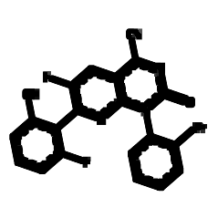 CC(C)c1ccccc1-n1c(=O)nc(C#N)c2cc(F)c(-c3c(O)cccc3F)nc21